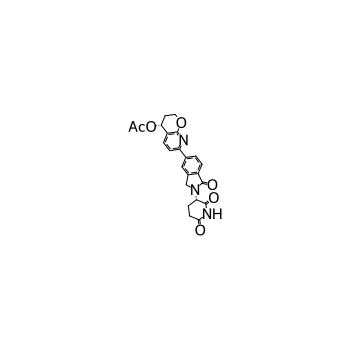 CC(=O)O[C@@H]1CCOc2nc(-c3ccc4c(c3)CN([C@H]3CCC(=O)NC3=O)C4=O)ccc21